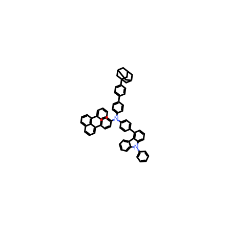 c1ccc(-c2cccc3cccc(-c4ccc(N(c5ccc(-c6ccc(C78CC9CC(CC(C9)C7)C8)cc6)cc5)c5ccc(-c6cccc7c6c6ccccc6n7-c6ccccc6)cc5)cc4)c23)cc1